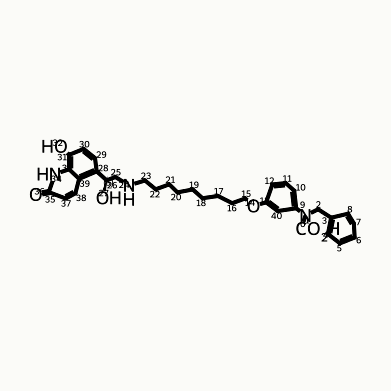 O=C(O)N(Cc1ccccc1)c1cccc(OCCCCCCCCCNC[C@@H](O)c2ccc(O)c3[nH]c(=O)ccc23)c1